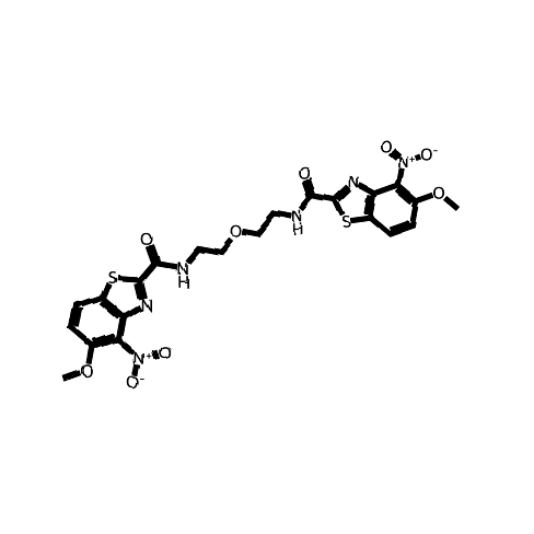 COc1ccc2sc(C(=O)NCCOCCNC(=O)c3nc4c([N+](=O)[O-])c(OC)ccc4s3)nc2c1[N+](=O)[O-]